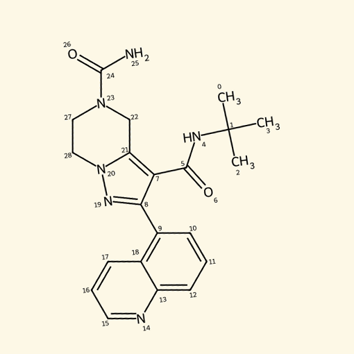 CC(C)(C)NC(=O)c1c(-c2cccc3ncccc23)nn2c1CN(C(N)=O)CC2